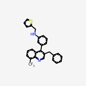 FC(F)(F)c1cccc2c(-c3cccc(NCc4cccs4)c3)c(Cc3ccccc3)cnc12